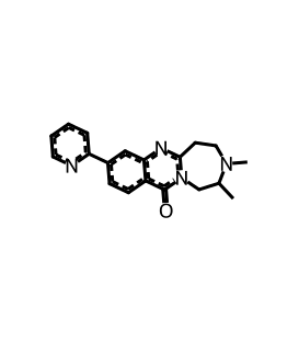 CC1Cn2c(nc3cc(-c4ccccn4)ccc3c2=O)CCN1C